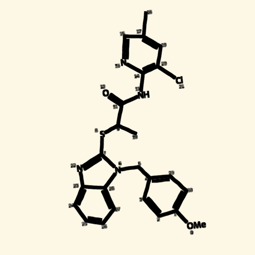 COc1ccc(Cn2c(SC(C)C(=O)Nc3ncc(C)cc3Cl)nc3ccccc32)cc1